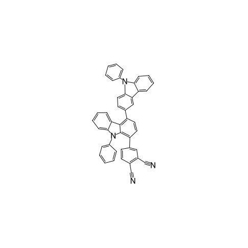 N#Cc1ccc(-c2ccc(-c3ccc4c(c3)c3ccccc3n4-c3ccccc3)c3c4ccccc4n(-c4ccccc4)c23)cc1C#N